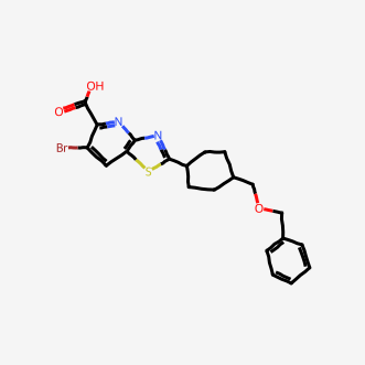 O=C(O)c1nc2nc(C3CCC(COCc4ccccc4)CC3)sc2cc1Br